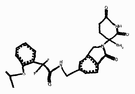 BC1(N2Cc3cc(CNC(=O)C(F)(F)c4ccccc4OC(C)C)ccc3C2=O)CCC(=O)NC1=O